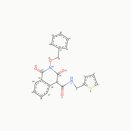 O=C(NCc1cccs1)C1C(=O)N(OCc2ccccc2)C(=O)c2ccccc21